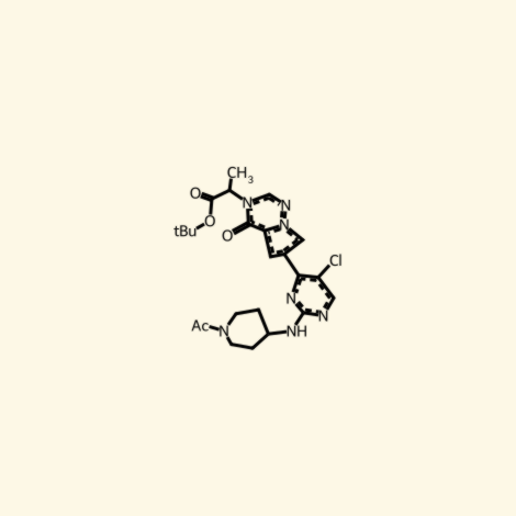 CC(=O)N1CCC(Nc2ncc(Cl)c(-c3cc4c(=O)n(C(C)C(=O)OC(C)(C)C)cnn4c3)n2)CC1